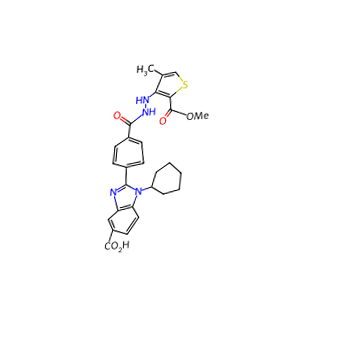 COC(=O)c1scc(C)c1NNC(=O)c1ccc(-c2nc3cc(C(=O)O)ccc3n2C2CCCCC2)cc1